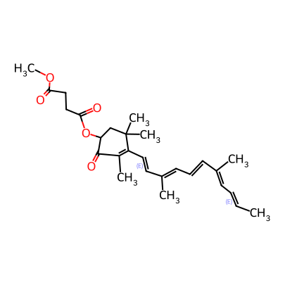 C/C=C/C=C(C)C=CC=C(C)/C=C/C1=C(C)C(=O)C(OC(=O)CCC(=O)OC)CC1(C)C